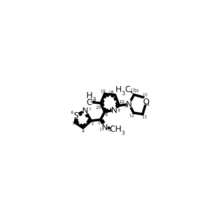 C/N=C(/c1ccsn1)c1nc(N2CCOC[C@H]2C)ccc1C